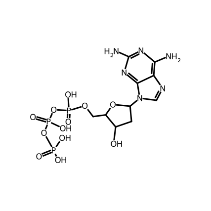 Nc1nc(N)c2ncn(C3CC(O)C(COP(=O)(O)OP(=O)(O)OP(=O)(O)O)O3)c2n1